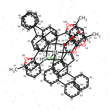 Cc1ccc(C2=Cc3c(-c4ccccc4)cccc3[C]23[SiH](c2ccccc2)[C]2(C(c4ccc(C)o4)=Cc4c(-c5ccccc5)cccc42)[Hf]32([Cl])([Cl])[C]3(C(c4ccc(C)o4)=Cc4c(-c5ccccc5)cccc43)[SiH](c3ccccc3)[C]23C(c2ccc(C)o2)=Cc2c(-c4ccccc4)cccc23)o1